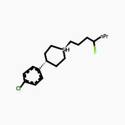 CCCC(F)CCC[Si@H]1CC[C@H](c2ccc(Cl)cc2)CC1